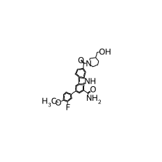 COc1ccc(-c2cc(C(N)=O)c3[nH]c4cc(C(=O)N5CCCC(CO)C5)ccc4c3c2)cc1F